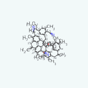 C=C(CC)c1cc(C)c(C#N)c(CC(=C)c2cc(C#N)c(C)c(CC(=C)c3cc(C)c(C#N)c(CC(=C)c4cc(C)c(C)c(CC(=C)c5cc(C)c(C)c(C)c5)c4)c3)c2)c1